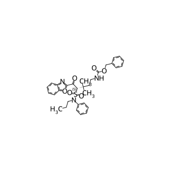 CCCN(c1ccccc1)S(=O)(=O)[C@H](C(=O)c1nc2ccccc2o1)C(C)(C)CCNC(=O)OCc1ccccc1